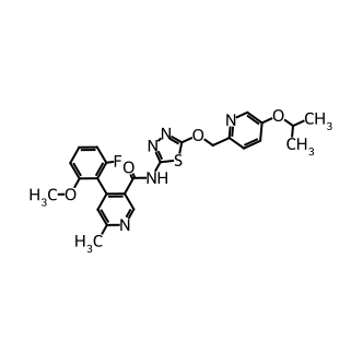 COc1cccc(F)c1-c1cc(C)ncc1C(=O)Nc1nnc(OCc2ccc(OC(C)C)cn2)s1